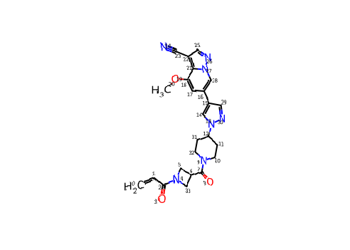 C=CC(=O)N1CC(C(=O)N2CCC(n3cc(-c4cc(OC)c5c(C#N)cnn5c4)cn3)CC2)C1